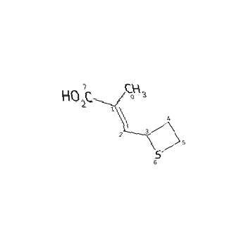 CC(=CC1CCS1)C(=O)O